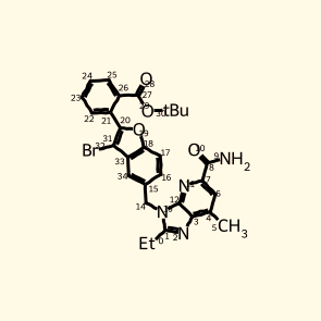 CCc1nc2c(C)cc(C(N)=O)nc2n1Cc1ccc2oc(-c3ccccc3C(=O)OC(C)(C)C)c(Br)c2c1